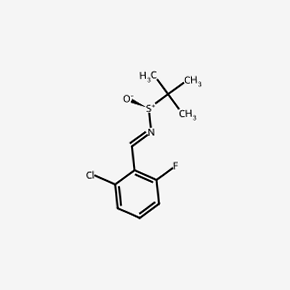 CC(C)(C)[S@+]([O-])N=Cc1c(F)cccc1Cl